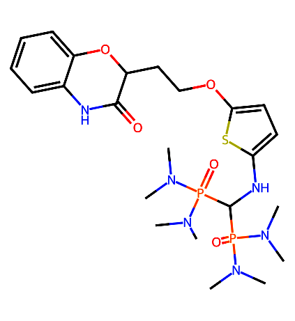 CN(C)P(=O)(C(Nc1ccc(OCCC2Oc3ccccc3NC2=O)s1)P(=O)(N(C)C)N(C)C)N(C)C